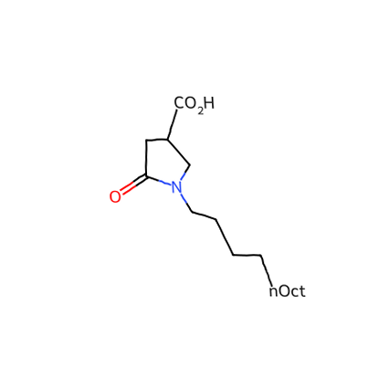 CCCCCCCCCCCCN1CC(C(=O)O)CC1=O